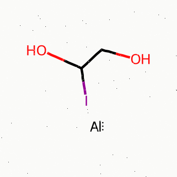 OCC(O)I.[Al]